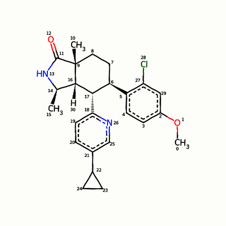 COc1ccc([C@@H]2CC[C@@]3(C)C(=O)N[C@H](C)[C@H]3[C@H]2c2ccc(C3CC3)cn2)c(Cl)c1